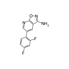 Nc1noc2ncc(-c3ccc(F)cc3F)cc12